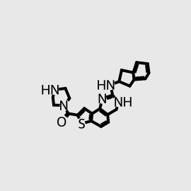 O=C(c1cc2c3c(ccc2s1)CNC(NC1Cc2ccccc2C1)=N3)N1CCNCC1